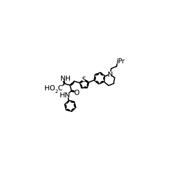 CC(C)CCN1CCCc2cc(-c3ccc(/C=C(/C(=N)C(=O)O)C(=O)Nc4ccccc4)s3)ccc21